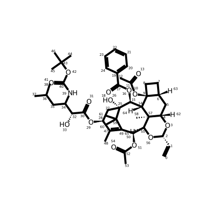 C=C[C@H]1O[C@H]2C[C@H]3CC[C@@]3(OC(C)=O)[C@H]3[C@H](OC(=O)c4ccccc4)[C@]4(O)C[C@H](OC(=O)[C@H](O)C(CC(C)C)NC(=O)OC(C)(C)C)C(C)=C([C@H](OC(C)=O)[C@H](O1)[C@]23C)C4(C)C